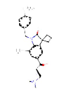 CBc1cc(C(=O)/C=C/N(C)C)cc2c1N(Cc1ccc(OC)cc1)C(=O)C21CCC1